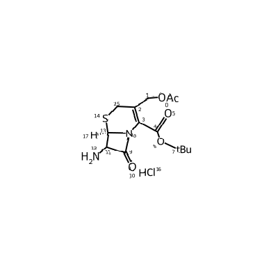 CC(=O)OCC1=C(C(=O)OC(C)(C)C)N2C(=O)C(N)[C@H]2SC1.Cl